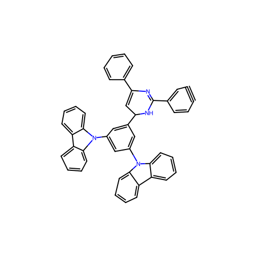 c1ccc(C2=NC(c3ccccc3)=CC(c3cc(-n4c5ccccc5c5ccccc54)cc(-n4c5ccccc5c5ccccc54)c3)N2)cc#1